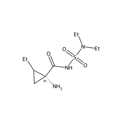 CCC1C[C@]1(N)C(=O)NS(=O)(=O)N(CC)CC